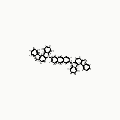 c1ccc2c(c1)sc1ccc3c(c4ccccc4n3-c3ccc4cc5cc(-n6c7ccccc7c7c8c(ccc76)sc6ccccc68)ccc5cc4c3)c12